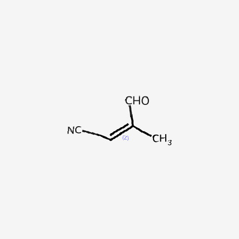 C/C(C=O)=C/C#N